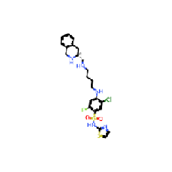 O=S(=O)(Nc1nccs1)c1cc(Cl)c(NCCCCNC[C@H]2Cc3ccccc3CN2)cc1F